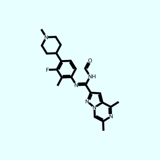 Cc1cn2nc(/C(=N/c3ccc(C4CCN(C)CC4)c(F)c3C)NC=O)cc2c(C)n1